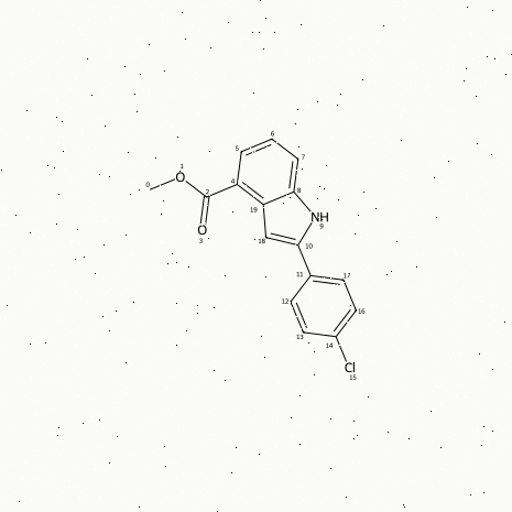 COC(=O)c1cccc2[nH]c(-c3ccc(Cl)cc3)cc12